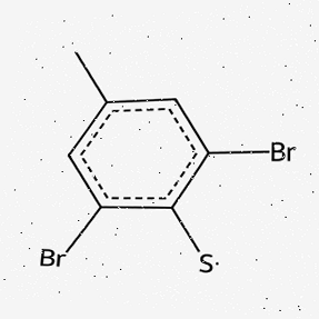 Cc1cc(Br)c([S])c(Br)c1